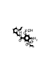 CCN1CCCC1CNC(=O)c1cc(S(=O)(=O)CC)c(N)cc1OC.Cl